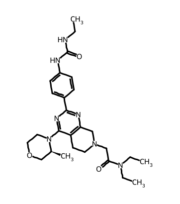 CCNC(=O)Nc1ccc(-c2nc3c(c(N4CCOC[C@@H]4C)n2)CCN(CC(=O)N(CC)CC)C3)cc1